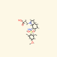 COc1cc(C)c(S(=O)(=O)Nc2cccc3ccn(CCC(=O)O)c23)c(C)c1